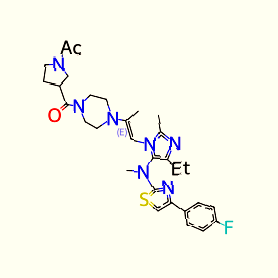 CCc1nc(C)n(/C=C(\C)N2CCN(C(=O)C3CCN(C(C)=O)C3)CC2)c1N(C)c1nc(-c2ccc(F)cc2)cs1